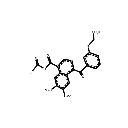 COc1cc2c(C(=O)OC(=O)C(F)(F)F)cnc(C(=O)c3cccc(OCC(=O)O)c3)c2cc1OC